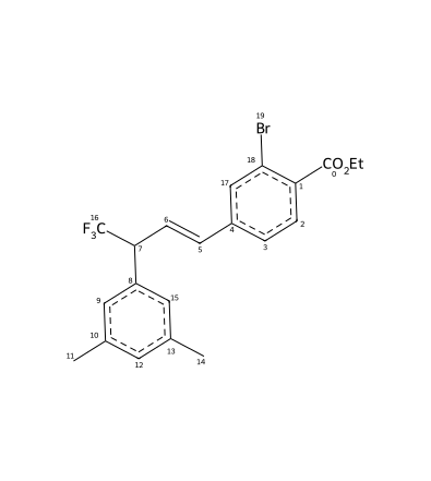 CCOC(=O)c1ccc(/C=C/C(c2cc(C)cc(C)c2)C(F)(F)F)cc1Br